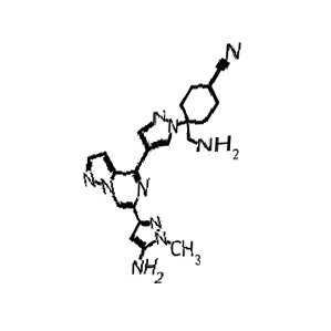 Cn1nc(-c2cn3nccc3c(-c3cnn(C4(CN)CCC(C#N)CC4)c3)n2)cc1N